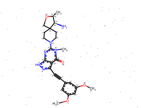 COc1cc(C#Cc2n[nH]c3nc(N4CCC5(CC4)CO[C@@H](C)[C@H]5N)n(C)c(=O)c23)cc(OC)c1